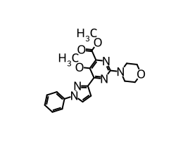 COC(=O)c1nc(N2CCOCC2)nc(-c2ccn(-c3ccccc3)n2)c1OC